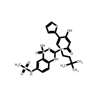 CC(C)(C)CC[N+]1(C2=NP(=O)(O)c3cc(NS(C)(=O)=O)ccc3N2)C=C(c2cccs2)C(O)=CC1=O